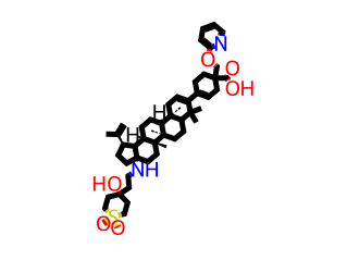 C=C(C)[C@@H]1CC[C@]2(NCCC3(O)CCS(=O)(=O)CC3)CC[C@]3(C)[C@H](CC[C@@H]4[C@@]5(C)CC=C(C6=CCC(COc7ccccn7)(C(=O)O)CC6)C(C)(C)C5CC[C@]43C)C12